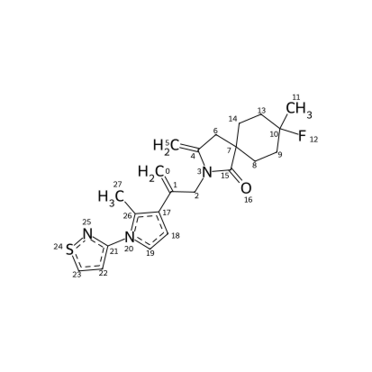 C=C(CN1C(=C)CC2(CCC(C)(F)CC2)C1=O)c1ccn(-c2ccsn2)c1C